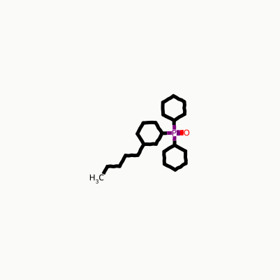 CCCCCC1CCCC(P(=O)(C2CCCCC2)C2CCCCC2)C1